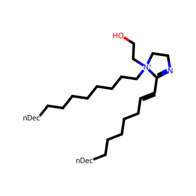 CCCCCCCCCCCCCCC/C=C/C1=NCC[N+]1(CCO)CCCCCCCCCCCCCCCCCC